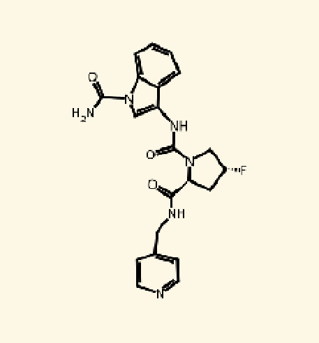 NC(=O)n1cc(NC(=O)N2C[C@H](F)C[C@H]2C(=O)NCc2ccncc2)c2ccccc21